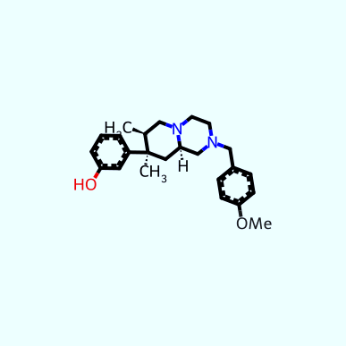 COc1ccc(CN2CCN3C[C@H](C)[C@](C)(c4cccc(O)c4)C[C@@H]3C2)cc1